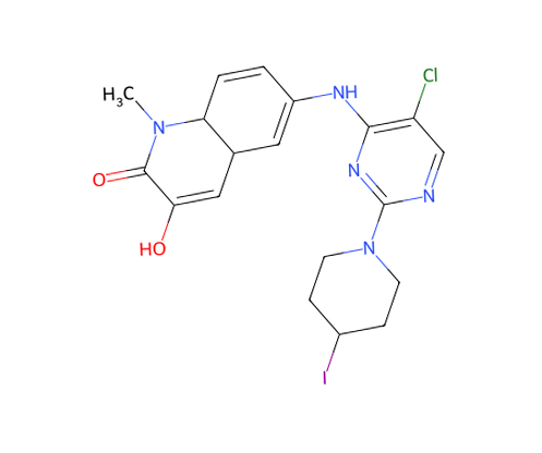 CN1C(=O)C(O)=CC2C=C(Nc3nc(N4CCC(I)CC4)ncc3Cl)C=CC21